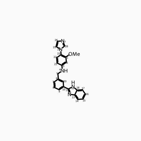 COc1cc(NCc2cccc(-c3nc4ccccc4[nH]3)c2)ccc1-n1ccnc1